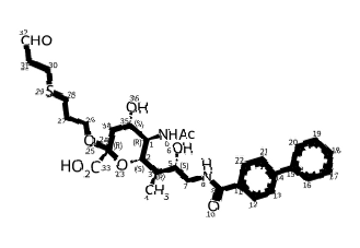 CC(=O)N[C@H]1[C@H]([C@H](C)[C@H](O)CNC(=O)c2ccc(-c3ccccc3)cc2)O[C@@](OCCCSCCC=O)(C(=O)O)C[C@@H]1O